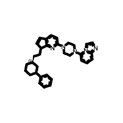 C1=CC(CC[C@@H]2CCCC(c3ccccc3)C2)c2nc(N3CCN(c4cccc5nccn45)CC3)ccc21